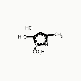 Cc1cc(C)n(C(=O)O)n1.Cl